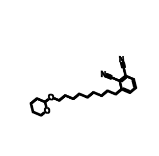 N#Cc1cccc(CCCCCCCCCOC2CCCCO2)c1C#N